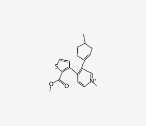 COC(=O)c1sccc1-c1cc[n+](C)cc1C1=CCC(C)CC1